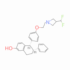 Oc1ccc2c(c1)CC[C@@H](c1ccccc1)[C@H]2c1ccc(OCCN2CC(C(F)F)C2)cc1